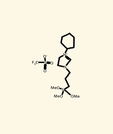 CO[Si](CCCN1C=[N+](C2CCCCC2)CC1)(OC)OC.O=S(=O)([O-])C(F)(F)F